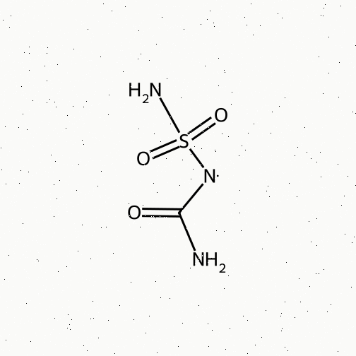 NC(=O)[N]S(N)(=O)=O